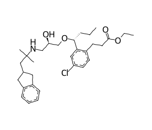 CCC[C@@H](OC[C@H](O)CNC(C)(C)CC1Cc2ccccc2C1)c1cc(Cl)ccc1CCC(=O)OCC